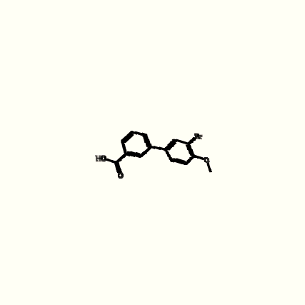 COc1ccc(-c2cccc(C(=O)O)c2)cc1Br